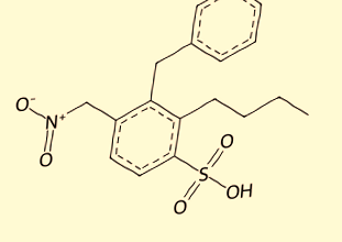 CCCCc1c(S(=O)(=O)O)ccc(C[N+](=O)[O-])c1Cc1ccccc1